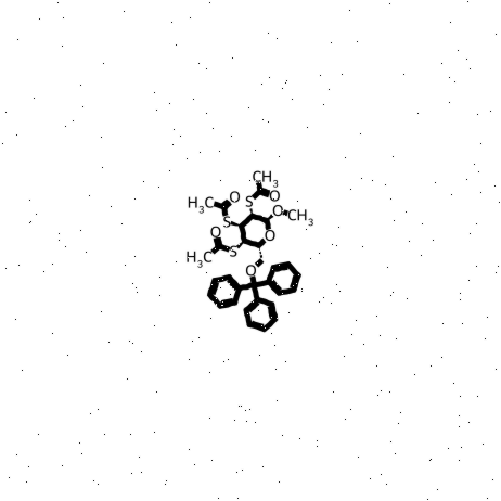 CO[C@H]1O[C@H](COC(c2ccccc2)(c2ccccc2)c2ccccc2)[C@@H](SC(C)=O)[C@@H](SC(C)=O)[C@@H]1SC(C)=O